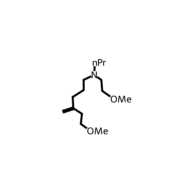 C=C(CCCN(CCC)CCOC)CCOC